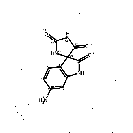 Nc1ccc2c(c1)NC(=O)C21NC(=O)NC1=O